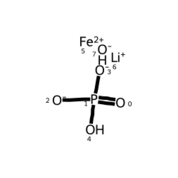 O=P([O-])([O-])O.[Fe+2].[Li+].[OH-]